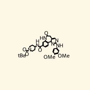 COc1ccc(Nc2ncc3c(n2)-c2ccc(C(=O)NC4CCN(C(=O)OC(C)(C)C)CC4)cc2NC(=O)C3)cc1OC